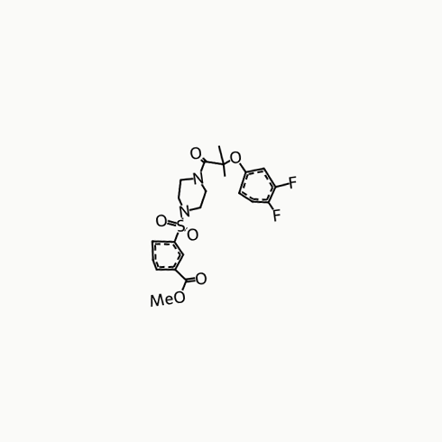 COC(=O)c1cccc(S(=O)(=O)N2CCN(C(=O)C(C)(C)Oc3ccc(F)c(F)c3)CC2)c1